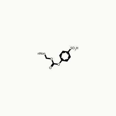 CCCCCCCCCCOC(=O)Oc1ccc(S(=O)(=O)O)cc1